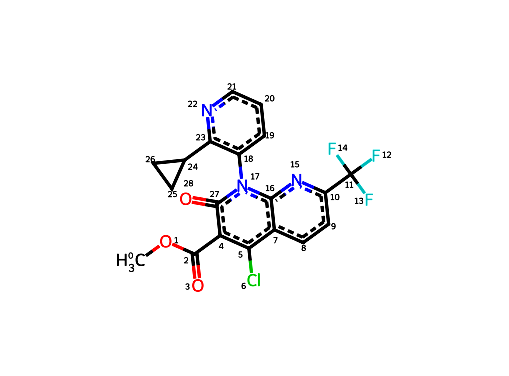 COC(=O)c1c(Cl)c2ccc(C(F)(F)F)nc2n(-c2cccnc2C2CC2)c1=O